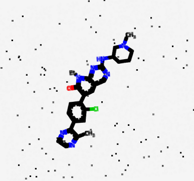 CCn1c(=O)c(-c2ccc(-c3nccnc3C)cc2Cl)cc2cnc(NC3CCCN(C)C3)nc21